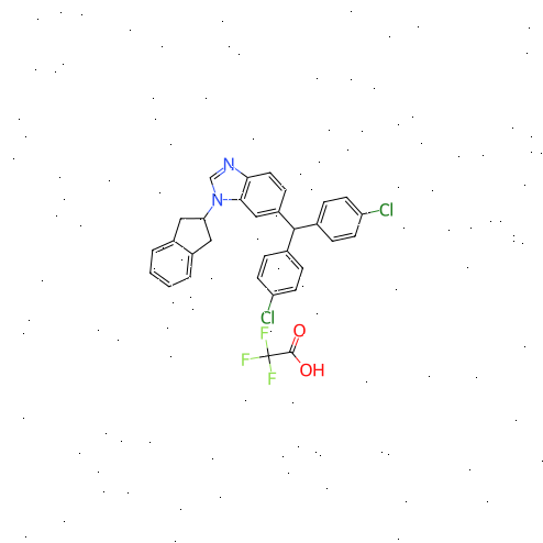 Clc1ccc(C(c2ccc(Cl)cc2)c2ccc3ncn(C4Cc5ccccc5C4)c3c2)cc1.O=C(O)C(F)(F)F